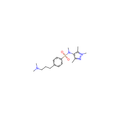 Cc1nn(C)c(C)c1N(C)S(=O)(=O)c1ccc(CCCN(C)C)cc1